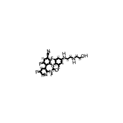 CN1C(=O)N(c2c(F)cc(NCCNCCO)cc2F)c2cc(C#N)cc(F)c2-c2cc(F)cnc21